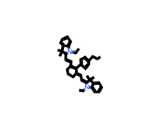 CCCc1ccc(C2=C(/C=C/C3=[N+](CC)c4ccccc4C3(C)C)CCC/C2=C\C=C2\N(CC)c3ccccc3C2(C)C)cc1